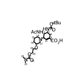 CC(=O)N[C@@H]1[C@@H](NC(=O)OC(C)(C)C)CC(C(=O)O)=C[C@H]1N1CCC[C@H](OCCOC(=O)N(C)C)C1